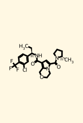 CC[C@@H](NC(=O)c1cc(C(=O)N2CCC[C@@H]2C)n2c1COCC2)c1ccc(C(F)(F)F)c(Cl)c1